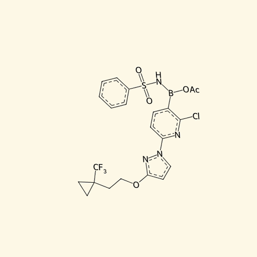 CC(=O)OB(NS(=O)(=O)c1ccccc1)c1ccc(-n2ccc(OCCC3(C(F)(F)F)CC3)n2)nc1Cl